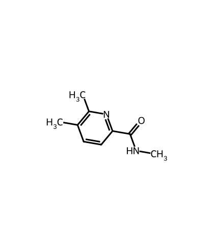 CNC(=O)c1ccc(C)c(C)n1